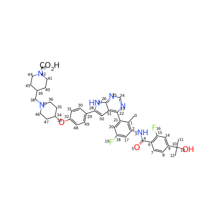 Cc1c(NC(=O)c2ccc(C(C)(C)O)cc2F)cc(F)cc1-c1ncnc2[nH]c(-c3ccc(OC4CCN(CC5CCN(C(=O)O)CC5)CC4)cc3)cc12